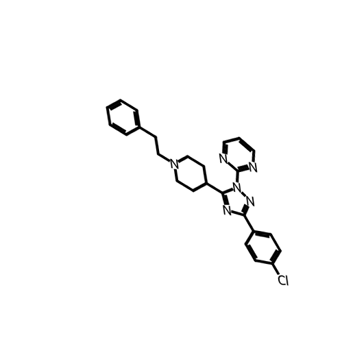 Clc1ccc(-c2nc(C3CCN(CCc4ccccc4)CC3)n(-c3ncccn3)n2)cc1